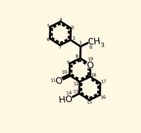 CC(c1ccccc1)c1cc(=O)c2c(O)cccc2o1